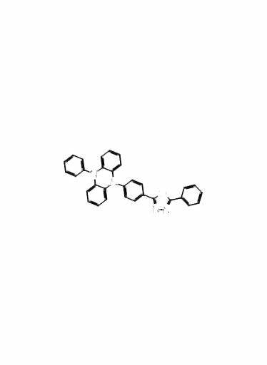 c1ccc(-c2nnc(-c3ccc(N4c5ccccc5N(c5ccccc5)c5ccccc54)cc3)o2)cc1